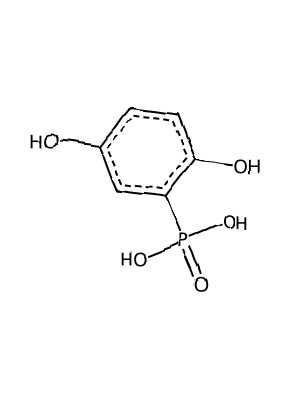 O=P(O)(O)c1cc(O)ccc1O